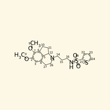 COc1cc2c3c(c1OC)CCC3N(CCCNS(=O)(=O)c1cccs1)CC2